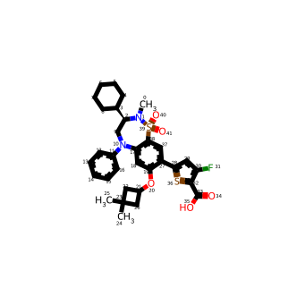 CN1[C@H](C2CCCCC2)CN(c2ccccc2)c2cc(OC3CC(C)(C)C3)c(-c3cc(F)c(C(=O)O)s3)cc2S1(=O)=O